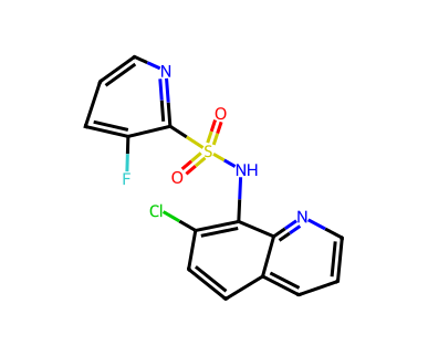 O=S(=O)(Nc1c(Cl)ccc2cccnc12)c1ncccc1F